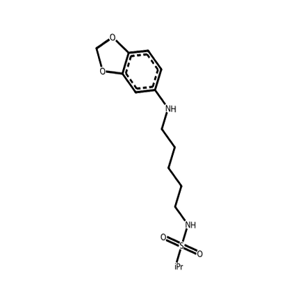 CC(C)S(=O)(=O)NCCCCCNc1ccc2c(c1)OCO2